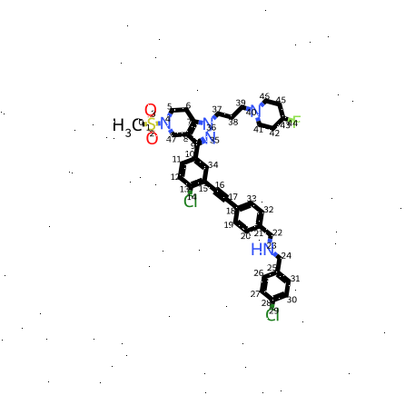 CS(=O)(=O)N1CCc2c(c(-c3ccc(Cl)c(C#Cc4ccc(CNCc5ccc(Cl)cc5)cc4)c3)nn2CCCN2CCC(F)CC2)C1